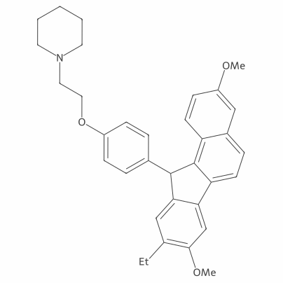 CCc1cc2c(cc1OC)-c1ccc3cc(OC)ccc3c1C2c1ccc(OCCN2CCCCC2)cc1